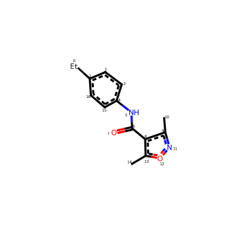 [CH2]Cc1ccc(NC(=O)c2c(C)noc2C)cc1